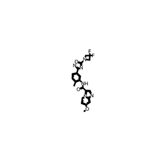 COc1ccn2c(C(=O)Nc3cc(-c4noc(N5CC(F)(F)C5)n4)ccc3C)cnc2c1